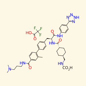 Cc1cc(C(=O)NCCCN(C)C)ccc1-c1ccc(C[C@H](NC(=O)[C@H]2CC[C@H](CNC(=O)O)CC2)C(=O)Nc2ccc(-c3nn[nH]n3)cc2)cc1.O=C(O)C(F)(F)F